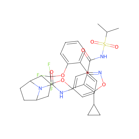 CC(C)S(=O)(=O)NC(=O)c1cccc(NC(=O)N2C3CCC2CC(OCc2c(-c4ccccc4OC(F)(F)F)noc2C2CC2)C3)c1